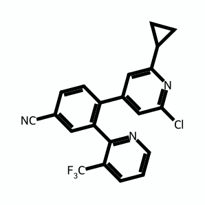 N#Cc1ccc(-c2cc(Cl)nc(C3CC3)c2)c(-c2ncccc2C(F)(F)F)c1